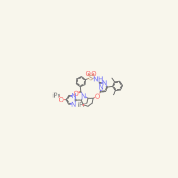 Cc1cccc(C)c1-c1cc2nc(n1)NS(=O)(=O)c1cccc(c1)C(=O)N1C(c3ncc(OC(C)C)cn3)CCCC(O2)C1CC(C)C